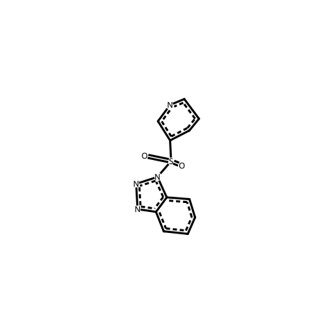 O=S(=O)(c1cccnc1)n1nnc2ccccc21